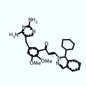 COc1cc(Cc2cnc(N)nc2N)cc(C(=O)/C=C/N2N=Cc3ccccc3C2C2CCCCC2)c1OC